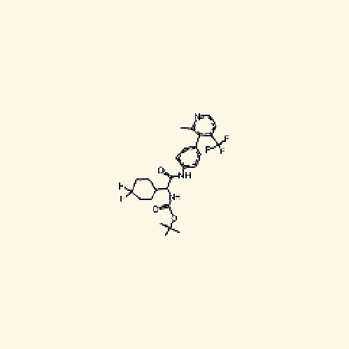 Cc1nccc(C(F)(F)F)c1-c1ccc(NC(=O)C(NC(=O)OC(C)(C)C)C2CCC(F)(F)CC2)cc1